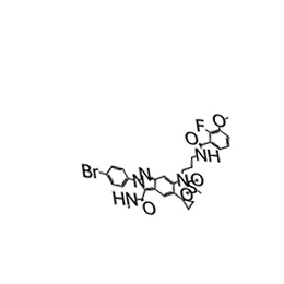 CNC(=O)c1c2cc(C3CC3)c(N(CCCNC(=O)c3cccc(OC)c3F)S(C)(=O)=O)cc2nn1-c1ccc(Br)cc1